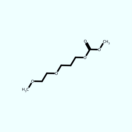 COCCOCCCOC(=O)OC